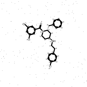 O=C(c1cc(Cl)cc(Cl)c1)N1CC[C@H](NCCc2ccc(Cl)cc2)C[C@H]1Cc1ccccc1